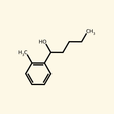 CCCCC(O)c1[c]cccc1C